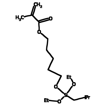 C=C(C)C(=O)OCCCCCO[Si](CC(C)C)(OCC)OCC